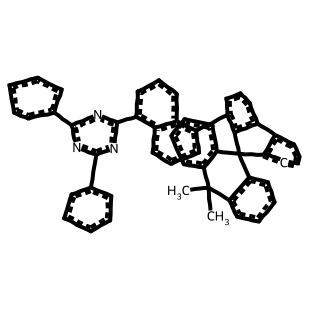 CC1(C)c2ccccc2C2(c3ccccc3-c3cccc(-c4cccc5c(-c6nc(-c7ccccc7)nc(-c7ccccc7)n6)cccc45)c32)c2ccccc21